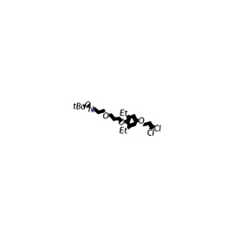 CCc1cc(OCC=C(Cl)Cl)cc(CC)c1OCCCOCC/C=N/OC(C)(C)C